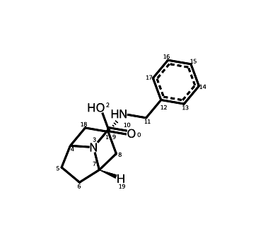 O=C(O)N1C2CC[C@H]1C[C@@H](NCc1ccccc1)C2